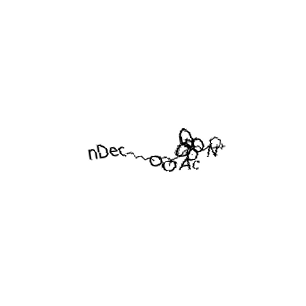 CCCCCCCCCCCCCCCCOCC(COP(=O)([O-])OCC1C2CCC(C2)[N+]1(C)C)OC(C)=O